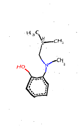 CN(C[SiH](C)C)c1ccccc1O